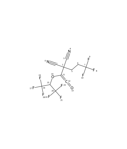 N#CC(C#N)(CCC(F)(F)F)C(=C=O)OC(C(F)(F)F)C(F)(F)F